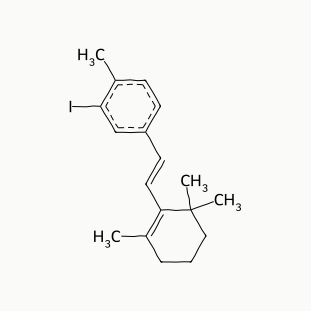 CC1=C(C=Cc2ccc(C)c(I)c2)C(C)(C)CCC1